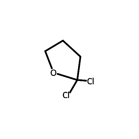 ClC1(Cl)CCCO1